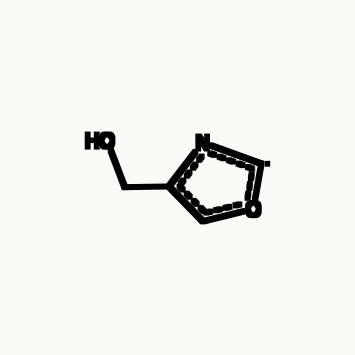 OCc1co[c]n1